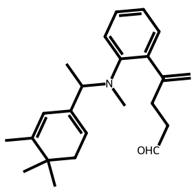 C=C(CCC=O)c1ccccc1N(C)C(C)C1=CCC(C)(C)C(C)=C1